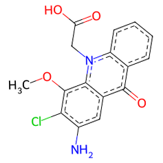 COc1c(Cl)c(N)cc2c(=O)c3ccccc3n(CC(=O)O)c12